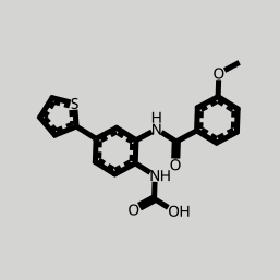 COc1cccc(C(=O)Nc2cc(-c3cccs3)ccc2NC(=O)O)c1